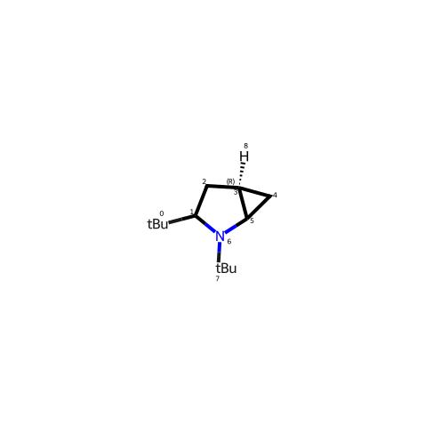 CC(C)(C)C1C[C@H]2CC2N1C(C)(C)C